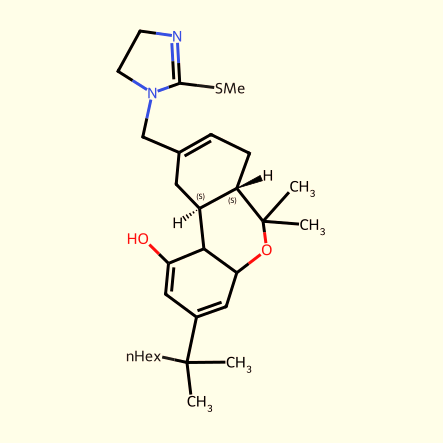 CCCCCCC(C)(C)C1=CC2OC(C)(C)[C@H]3CC=C(CN4CCN=C4SC)C[C@@H]3C2C(O)=C1